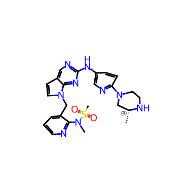 C[C@@H]1CN(c2ccc(Nc3ncc4ccn(Cc5cccnc5N(C)S(C)(=O)=O)c4n3)cn2)CCN1